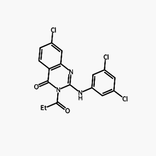 CCC(=O)n1c(Nc2cc(Cl)cc(Cl)c2)nc2cc(Cl)ccc2c1=O